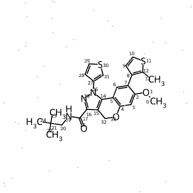 COc1cc2c(cc1-c1ccsc1C)-c1c(c(C(=O)NCC(C)(C)C)nn1-c1ccsc1)CO2